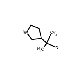 CC(C)([O])C1CCNC1